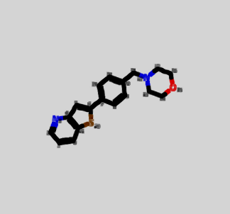 [c]1ccnc2cc(-c3ccc(CN4CCOCC4)cc3)sc12